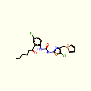 CCCCCC(=O)c1cc(F)ccc1NC(=O)Nc1nc(C[SH]2C=CC=C2)c(Cl)s1